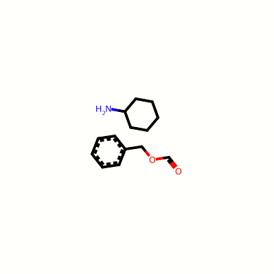 NC1CCCCC1.O=COCc1ccccc1